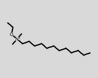 CCCCCCCCCCCC[N+](C)(C)OCC